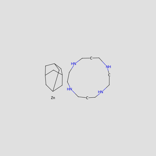 C1C2CC3CC1CC(C2)C3.C1CNCCNCCCNCCNC1.[Zn]